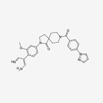 COc1cc(N2CCC3(CCN(C(=O)c4ccc(-n5cccn5)cc4)CC3)C2=O)ccc1/C(C=N)=C/N